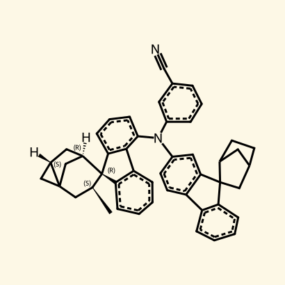 C[C@H]1CC23C[C@@H]2C[C@H](C3)[C@@]12c1ccccc1-c1c(N(c3cccc(C#N)c3)c3ccc4c(c3)C3(CC5CCC3C5)c3ccccc3-4)cccc12